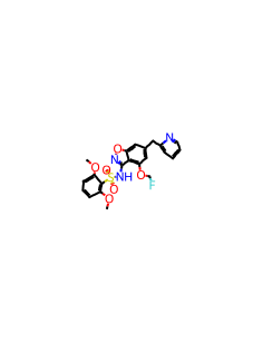 COc1cccc(OC)c1S(=O)(=O)Nc1noc2cc(Cc3ccccn3)cc(OCF)c12